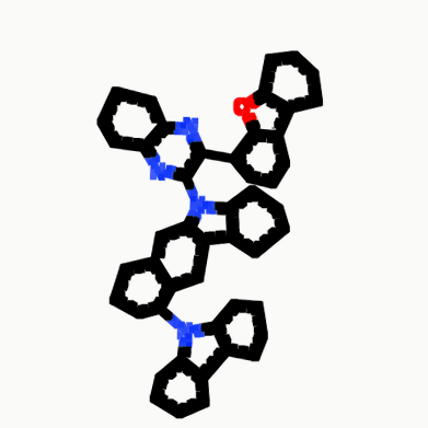 c1cc(-n2c3ccccc3c3ccccc32)c2cc3c4ccccc4n(-c4nc5ccccc5nc4-c4cccc5c4oc4ccccc45)c3cc2c1